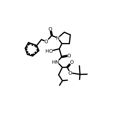 CC(C)CC(NC(=O)C(O)C1CCCN1C(=O)OCc1ccccc1)C(=O)OC(C)(C)C